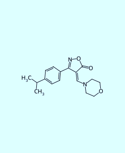 CC(C)c1ccc(C2=NOC(=O)/C2=C\N2CCOCC2)cc1